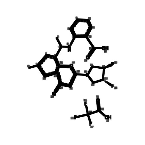 Cc1cc(C(C)Nc2ccccc2C(=O)O)c2oc(N3C[C@@H](F)[C@H](F)C3)cc(=O)c2c1.O=C(O)C(F)(F)F